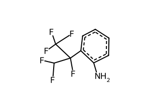 Nc1ccccc1C(F)(C(F)F)C(F)(F)F